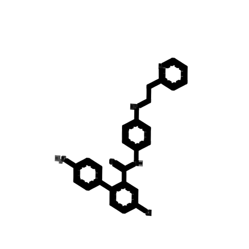 Cc1ccc(-c2ccc(Cl)cc2C(=O)Nc2ccc(NCCc3ccccn3)cc2)cc1